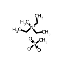 CC[N+](C)(CC)CC.CS(=O)(=O)[O-]